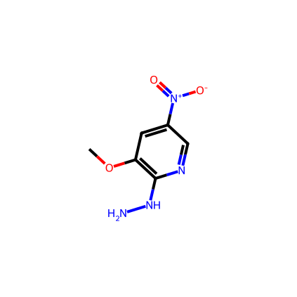 COc1cc([N+](=O)[O-])cnc1NN